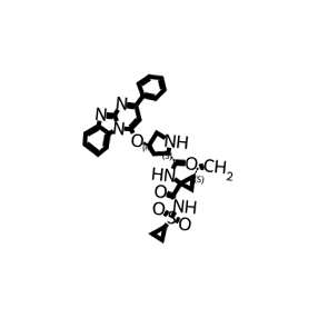 C=C[C@@H]1CC1(NC(=O)[C@@H]1C[C@@H](Oc2cc(-c3ccccc3)nc3nc4ccccc4n23)CN1)C(=O)NS(=O)(=O)C1CC1